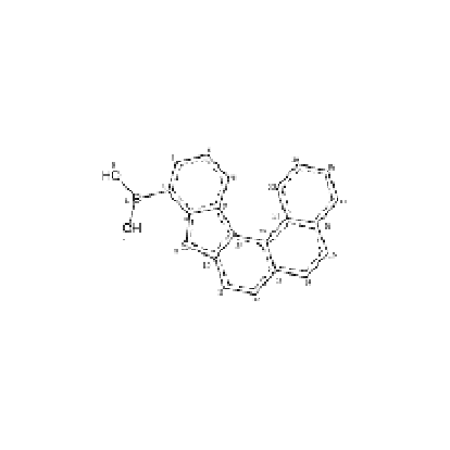 OB(O)c1cccc2c1sc1ccc3ccc4ccccc4c3c12